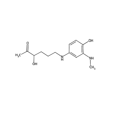 CNc1cc(NCCCC(O)C(C)=O)ccc1O